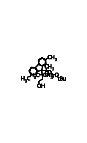 Cc1ccc2c(c1)C(C(C)(C)CCO)(C(C)(C)CCOC(C)(C)C)c1cc(C)ccc1-2